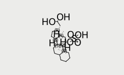 C[C@]12CC[C@H]3[C@@H](CCC4CCCC[C@@]43C)[C@@H]1CC[C@@H]2CC(O)O.O=S(=O)(O)O